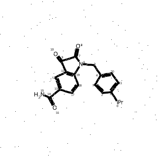 CC(C)c1ccc(CN2C(=O)C(=O)c3cc(C(N)=O)ccc32)cc1